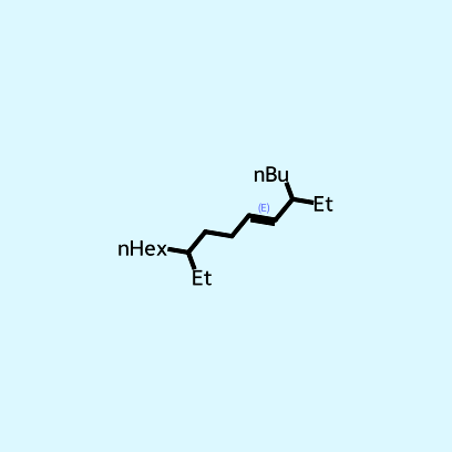 [CH2]CCCCCC(CC)CC/C=C/C(CC)CCC[CH2]